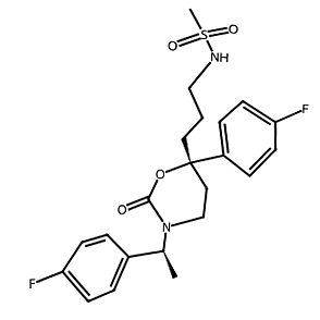 C[C@@H](c1ccc(F)cc1)N1CC[C@@](CCCNS(C)(=O)=O)(c2ccc(F)cc2)OC1=O